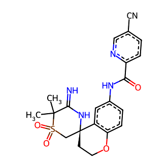 CC1(C)C(=N)N[C@@]2(CCOc3ccc(NC(=O)c4ccc(C#N)cn4)cc32)CS1(=O)=O